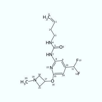 C=CCCNC(=O)Nc1cc(C(F)F)cc(OC2CN(C)C2)n1